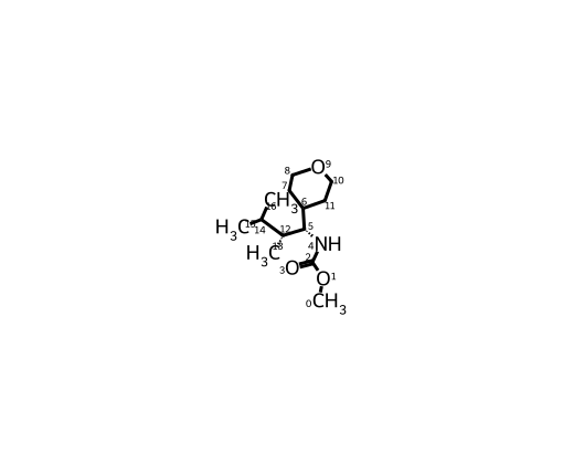 COC(=O)N[C@@H](C1CCOCC1)[C@H](C)C(C)C